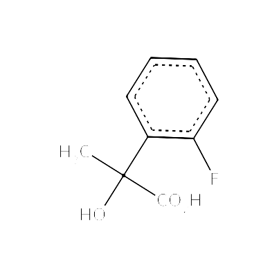 CC(O)(C(=O)O)c1ccccc1F